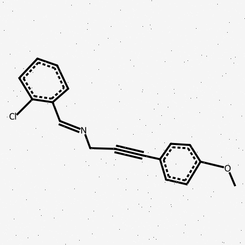 COc1ccc(C#CCN=Cc2ccccc2Cl)cc1